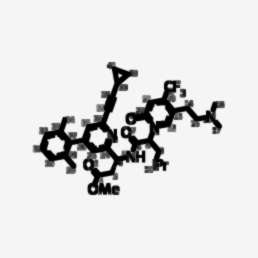 COC(=O)C[C@H](NC(=O)C(CC(C)C)n1cc(CCN(C)C)c(C(F)(F)F)cc1=O)c1cc(-c2c(C)cccc2C)cc(C#CC2CC2)n1